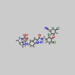 CC(C)(C)[C@]1(C(=O)Nc2ccc3[nH]c(C(=O)NCc4ccc(Cl)c(Oc5cc(Cl)cc(C#N)c5)c4F)cc3c2)CCCN1C(=O)O